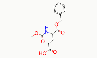 COC(=O)NC(CCC(=O)O)C(=O)OCc1ccccc1